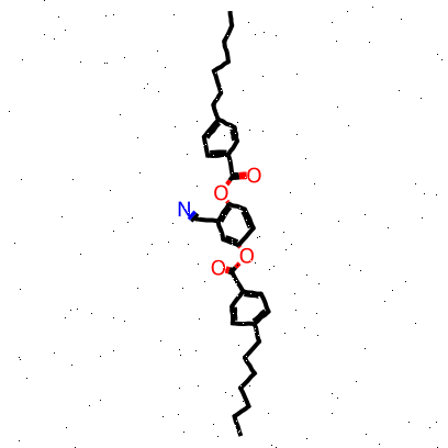 CCCCCCCc1ccc(C(=O)Oc2ccc(OC(=O)c3ccc(CCCCCCC)cc3)c(C#N)c2)cc1